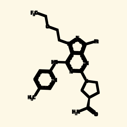 CCc1nn(CCOCC(F)(F)F)c2c(Nc3ccc(C)cn3)nc(N3CC[C@@H](C(N)=O)C3)nc12